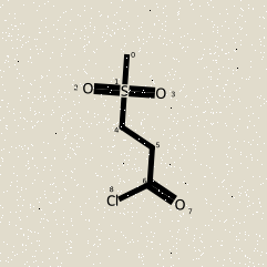 CS(=O)(=O)CCC(=O)Cl